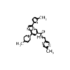 Cc1cnc(CNC(=O)c2cc(N3CCC(C)CC3)c3ncc(-c4ccc(C)s4)n3c2)cn1